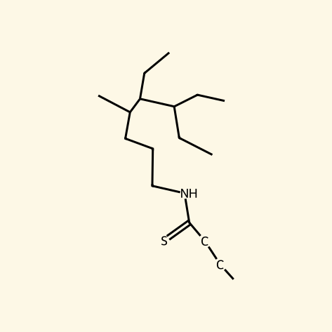 CCCC(=S)NCCCC(C)C(CC)C(CC)CC